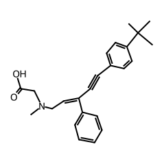 CN(CC=C(C#Cc1ccc(C(C)(C)C)cc1)c1ccccc1)CC(=O)O